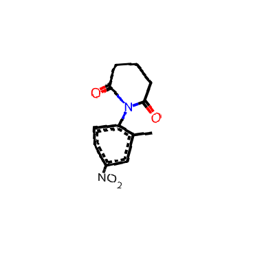 Cc1cc([N+](=O)[O-])ccc1N1C(=O)CCCC1=O